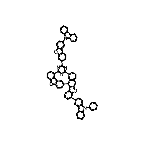 c1ccc(-c2nc(-c3ccc4c(c3)oc3ccc(-n5c6ccccc6c6ccccc65)cc34)nc(-c3cccc4oc5ccc(-c6cccc7oc8c(-c9ccc%10c(c9)c9ccccc9n%10-c9ccccc9)cccc8c67)cc5c34)n2)cc1